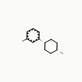 C[C@H]1CC[C@@H](c2cccc(F)c2)CC1